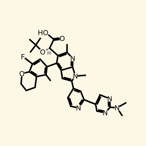 Cc1nc2c(cc(-c3ccnc(-c4cnc(N(C)C)nc4)c3)n2C)c(-c2cc(F)c3c(c2C)CCCO3)c1[C@H](OC(C)(C)C)C(=O)O